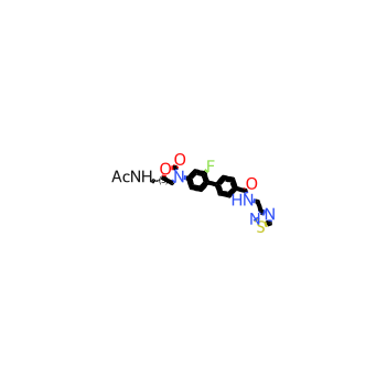 CC(=O)NC[C@H]1CN(c2ccc(-c3ccc(C(=O)NCc4ncsn4)cc3)c(F)c2)C(=O)O1